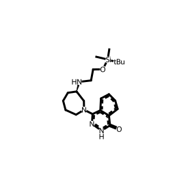 CC(C)(C)[Si](C)(C)OCCN[C@@H]1CCCCN(c2n[nH]c(=O)c3ccccc23)C1